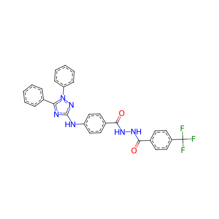 O=C(NNC(=O)c1ccc(C(F)(F)F)cc1)c1ccc(Nc2nc(-c3ccccc3)n(-c3ccccc3)n2)cc1